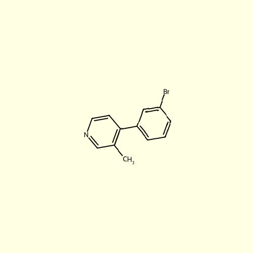 Cc1cnccc1-c1cccc(Br)c1